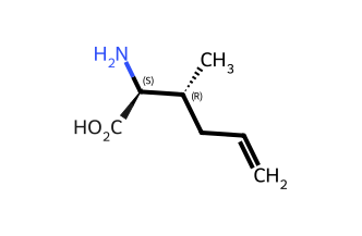 C=CC[C@@H](C)[C@H](N)C(=O)O